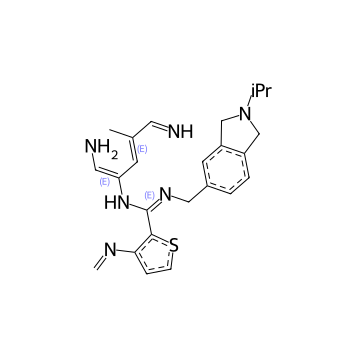 C=Nc1ccsc1/C(=N\Cc1ccc2c(c1)CN(C(C)C)C2)NC(/C=C(\C)C=N)=C/N